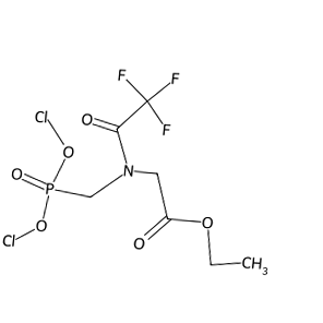 CCOC(=O)CN(CP(=O)(OCl)OCl)C(=O)C(F)(F)F